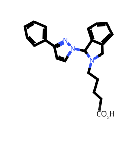 O=C(O)CCCCN1Cc2ccccc2C1n1ccc(-c2ccccc2)n1